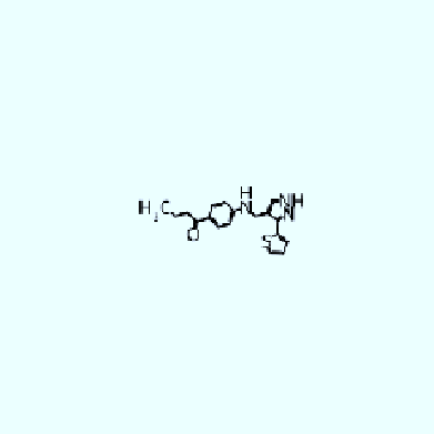 CCCC(=O)c1ccc(NCc2c[nH]nc2-c2cccs2)cc1